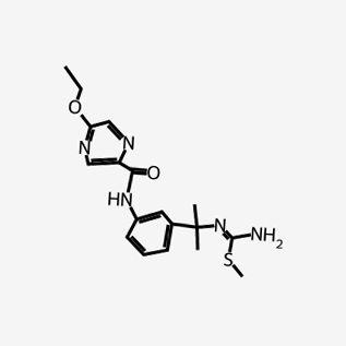 CCOc1cnc(C(=O)Nc2cccc(C(C)(C)/N=C(/N)SC)c2)cn1